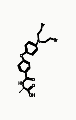 C[C@H](NC(=O)c1ccc(Oc2ccc(N(CCBr)CCBr)cc2)cc1)C(=O)O